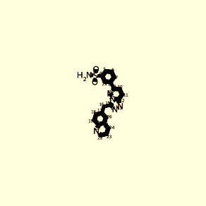 NS(=O)(=O)c1cccc(-c2ccc3nnc(Cc4ccc5ncccc5c4)n3n2)c1